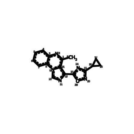 Cc1nc2ccccc2n2cnc(-c3nc(C4CC4)no3)c12